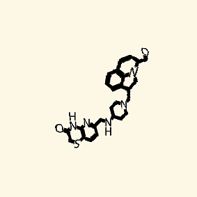 O=CC1C=Cc2cccc3c2N1CC3CN1CCC(NCc2ccc3c(n2)NC(=O)CS3)CC1